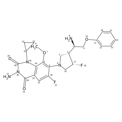 COc1c(N2C[C@H]([C@@H](N)COc3ccccc3)[C@H](F)C2)c(F)cc2c(=O)n(N)c(=O)n(C3CC3)c12